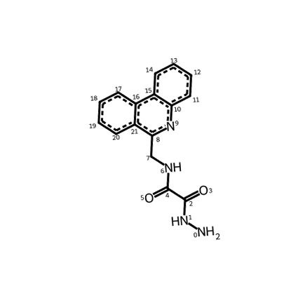 NNC(=O)C(=O)NCc1nc2ccccc2c2ccccc12